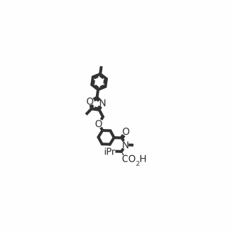 Cc1ccc(-c2nc(COC3CCCC(C(=O)N(C)[C@H](C(=O)O)C(C)C)C3)c(C)o2)cc1